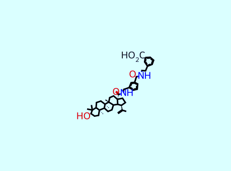 C=C(C)[C@@H]1CC[C@]2(C(=O)NCc3cccc(C(=O)NCCc4cccc(C(=O)O)c4)c3)CC[C@]3(C)C(CCC4[C@@]5(C)CC[C@H](O)C(C)(C)C5CC[C@]43C)C12